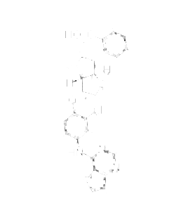 O=C(O)c1ccccc1[C@H]1CO[C@@H]2[C@@H]1OC[C@@H]2Oc1ccc(Nc2ncnc3ccsc23)cc1Cl